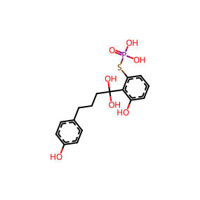 O=P(O)(O)Sc1cccc(O)c1C(O)(O)CCCc1ccc(O)cc1